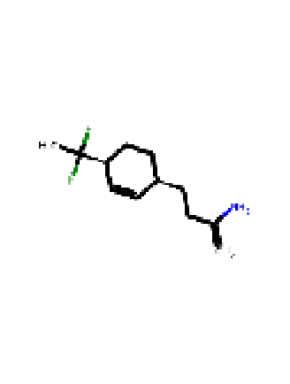 C=C(N)CC[C@H]1C=C[C@@H](C(C)(F)F)CC1